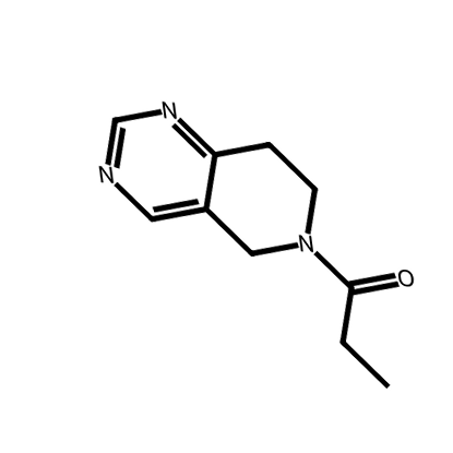 CCC(=O)N1CCc2ncncc2C1